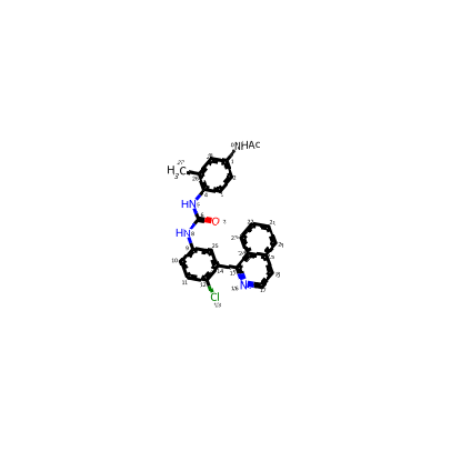 CC(=O)Nc1ccc(NC(=O)Nc2ccc(Cl)c(-c3nccc4ccccc34)c2)c(C)c1